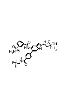 CC(C)(O)CCn1cc2cc(NC(=O)c3cccc(S(N)(=O)=O)c3)c(-c3ccc(C(=O)NCC(F)(F)F)cc3)cc2n1